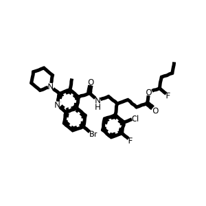 CCCC(F)OC(=O)CCC(CNC(=O)c1c(C)c(N2CCCCC2)nc2ccc(Br)cc12)c1cccc(F)c1Cl